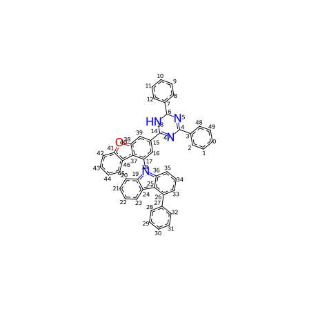 c1ccc(C2=NC(c3ccccc3)NC(c3cc(-n4c5ccccc5c5c(-c6ccccc6)cccc54)c4c(c3)oc3ccccc34)=N2)cc1